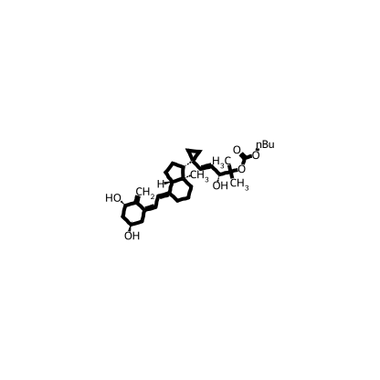 C=C1/C(=C\C=C2/CCC[C@]3(C)[C@@H](C4(/C=C/[C@@H](O)C(C)(C)OC(=O)OCCCC)CC4)CC[C@@H]23)C[C@@H](O)C[C@@H]1O